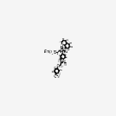 CCOC(=O)CCN(c1ccc2c(c1)nc(COc1ccc(C#N)cc1)n2C)S(=O)(=O)c1cccc2cccnc12